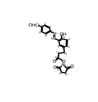 O=Cc1ccc(/N=N/c2cc(CCC(=O)ON3C(=O)CCC3=O)ccc2O)cc1